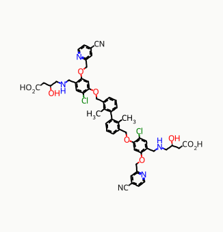 Cc1c(COc2cc(OCc3cc(C#N)ccn3)c(CNC[C@@H](O)CC(=O)O)cc2Cl)cccc1-c1cccc(COc2cc(OCc3cc(C#N)ccn3)c(CNC[C@@H](O)CC(=O)O)cc2Cl)c1C